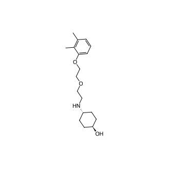 Cc1cccc(OCCOCCN[C@H]2CC[C@H](O)CC2)c1C